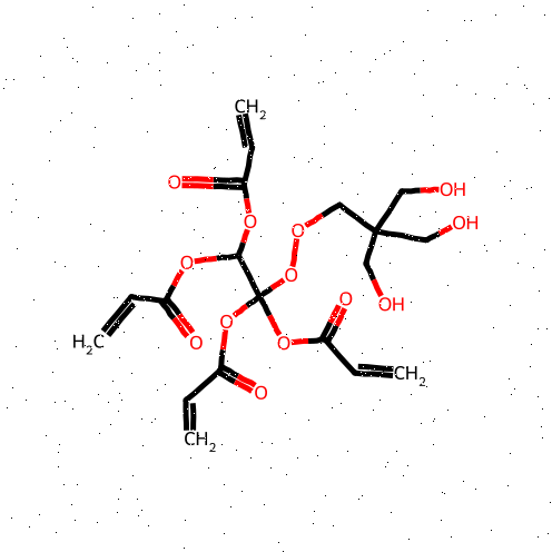 C=CC(=O)OC(OC(=O)C=C)C(OOCC(CO)(CO)CO)(OC(=O)C=C)OC(=O)C=C